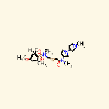 COc1cc(C)c(S(=O)(=O)N(C)CCSCC(=O)N(C)[C@@H]2CCN(C3CCN(C)CC3)C2)c(C)c1